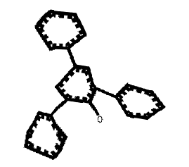 [O]c1c(-c2ccccc2)cc(-c2ccccc2)cc1-c1ccccc1